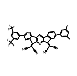 Cc1cc(C)cc(-c2ccc3c(c2)C(=C(C#N)C#N)c2nc4c(cc2-3)-c2ccc(-c3cc(C(F)(F)F)cc(C(F)(F)F)c3)cc2C4=C(C#N)C#N)c1